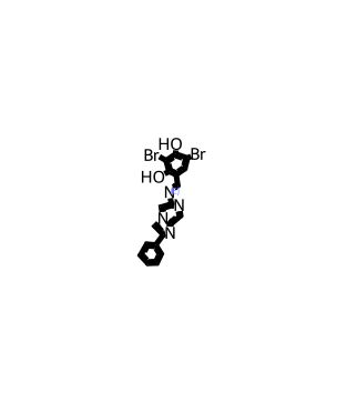 Oc1c(Br)cc(/C=N/c2cn3cc(-c4ccccc4)nc3cn2)c(O)c1Br